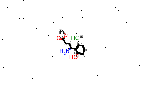 CC(C)OC(=O)CCC(N)c1ccccc1O.Cl